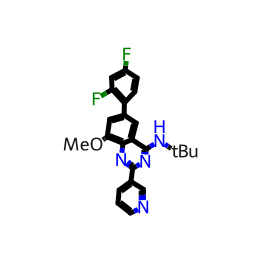 COc1cc(-c2ccc(F)cc2F)cc2c(NC(C)(C)C)nc(-c3cccnc3)nc12